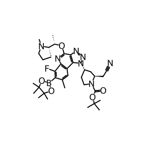 Cc1cc2c(nc(O[C@@H](C)[C@@H]3CCCN3C)c3nnn([C@H]4CCN(C(=O)OC(C)(C)C)[C@H](CC#N)C4)c32)c(F)c1B1OC(C)(C)C(C)(C)O1